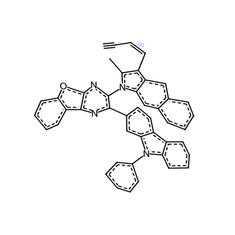 C#C/C=C\c1c(C)n(-c2nc3oc4ccccc4c3nc2-c2ccc3c4ccccc4n(-c4ccccc4)c3c2)c2cc3ccccc3cc12